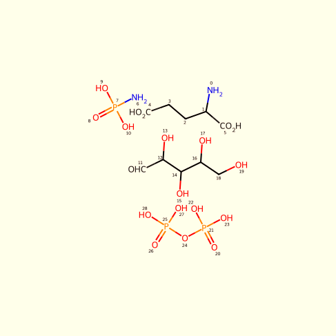 NC(CCC(=O)O)C(=O)O.NP(=O)(O)O.O=CC(O)C(O)C(O)CO.O=P(O)(O)OP(=O)(O)O